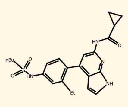 CCCCS(=O)(=O)Nc1ccc(-c2cc(NC(=O)C3CC3)nc3[nH]ccc23)c(CC)c1